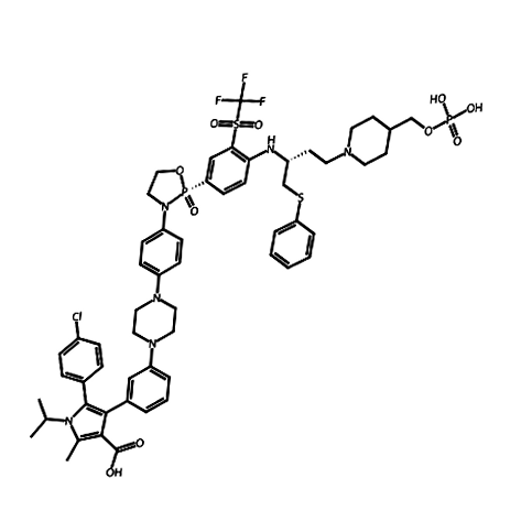 Cc1c(C(=O)O)c(-c2cccc(N3CCN(c4ccc(N5CCO[P@]5(=O)c5ccc(N[C@H](CCN6CCC(COP(=O)(O)O)CC6)CSc6ccccc6)c(S(=O)(=O)C(F)(F)F)c5)cc4)CC3)c2)c(-c2ccc(Cl)cc2)n1C(C)C